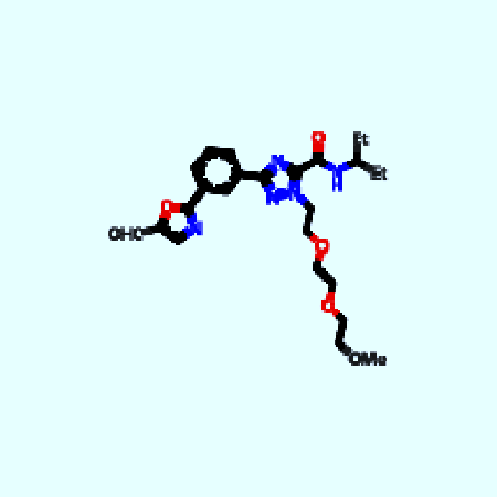 CCC(CC)NC(=O)c1nc(-c2cccc(-c3ncc(C=O)o3)c2)nn1CCOCCOCCOC